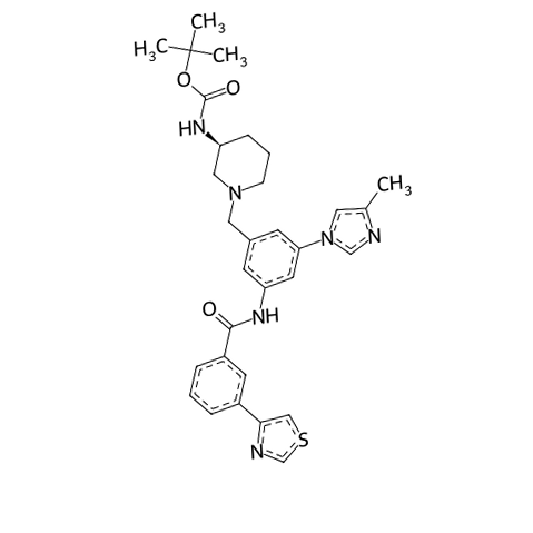 Cc1cn(-c2cc(CN3CCC[C@H](NC(=O)OC(C)(C)C)C3)cc(NC(=O)c3cccc(-c4cscn4)c3)c2)cn1